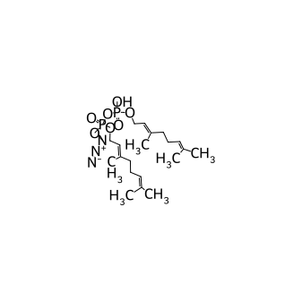 CC(C)=CCC/C(C)=C/COP(=O)(O)OP(=O)(OC/C=C(\C)CCC=C(C)C)ON=[N+]=[N-]